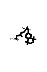 CC(/C=C/[C@]1(C)C[C@]1(C)c1ccc2c(c1)C(C)(C)CCC2(C)C)=C\C(=O)O